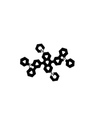 c1ccc(-p2c3ccccc3c3cc(-c4c5ccc(N6CCCCC6)cc5c(-c5ccc6c(c5)c5ccccc5p6-c5ccccc5)c5ccc(N6CCCCC6)cc45)ccc32)cc1